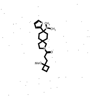 COC1(CCC(=O)N2CCC3(CCC(c4cccs4)(N(C)C)CC3)C2)CCC1